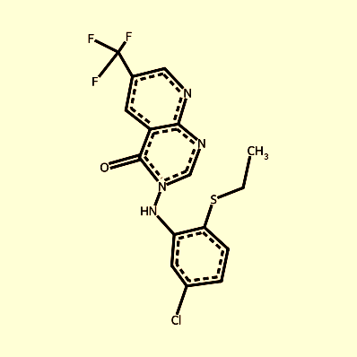 CCSc1ccc(Cl)cc1Nn1cnc2ncc(C(F)(F)F)cc2c1=O